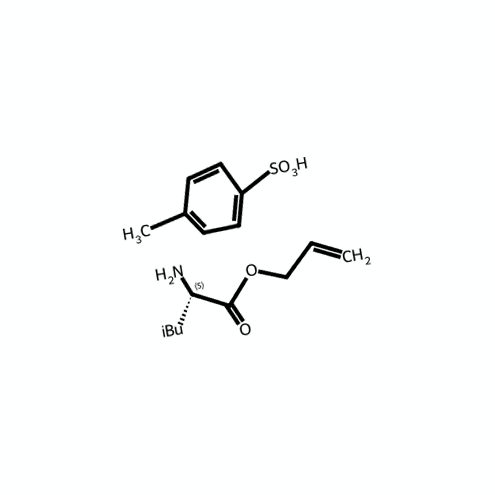 C=CCOC(=O)[C@@H](N)C(C)CC.Cc1ccc(S(=O)(=O)O)cc1